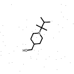 CC(C)C(C)(C)N1CCC(CO)CC1